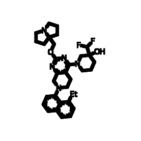 CCc1cccc2cccc(N3CCc4c(nc(OCC56CCCN5CCC6)nc4N4CCCC(O)(C(F)F)C4)C3)c12